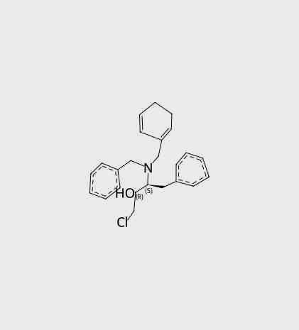 O[C@@H](CCl)[C@H](Cc1ccccc1)N(CC1=CCCC=C1)Cc1ccccc1